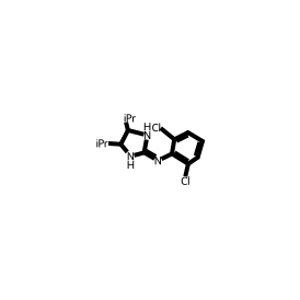 CC(C)C1NC(=Nc2c(Cl)cccc2Cl)NC1C(C)C